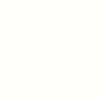 COC(=O)c1ccn2c(Cl)c(-c3c(F)cccc3-c3ccc(F)cc3F)nc2c1